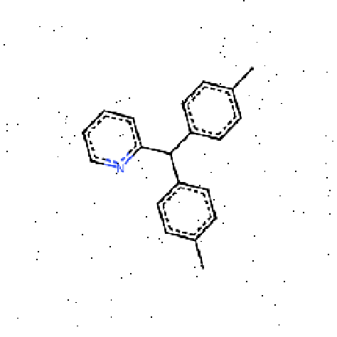 Cc1ccc(C(c2ccc(C)cc2)c2ccccn2)cc1